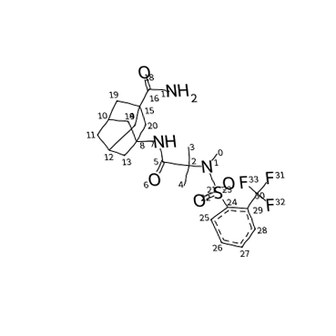 CN(C(C)(C)C(=O)NC12CC3CC(C1)CC(C(N)=O)(C3)C2)S(=O)(=O)c1ccccc1C(F)(F)F